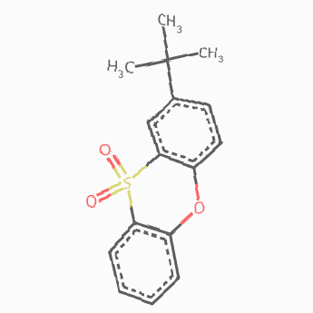 CC(C)(C)c1ccc2c(c1)S(=O)(=O)c1ccccc1O2